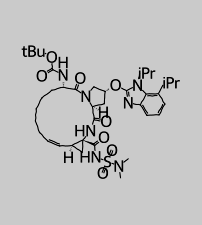 CC(C)c1cccc2nc(O[C@@H]3C[C@H]4C(=O)N[C@]5(C(=O)NS(=O)(=O)N(C)C)C[C@H]5/C=C\CCCCC[C@H](NC(=O)OC(C)(C)C)C(=O)N4C3)n(C(C)C)c12